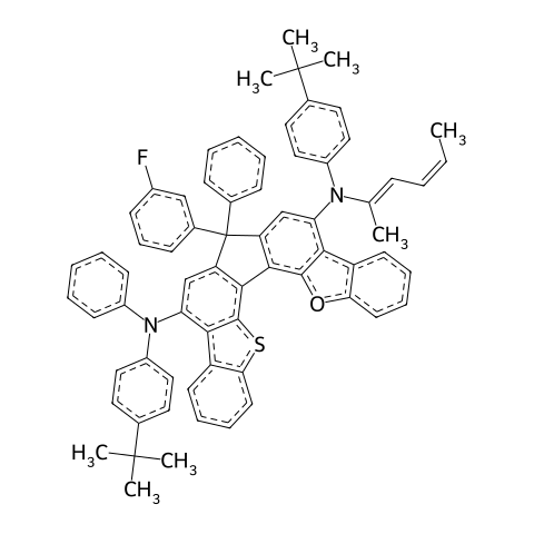 C/C=C\C=C(/C)N(c1ccc(C(C)(C)C)cc1)c1cc2c(c3oc4ccccc4c13)-c1c(cc(N(c3ccccc3)c3ccc(C(C)(C)C)cc3)c3c1sc1ccccc13)C2(c1ccccc1)c1cccc(F)c1